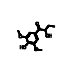 CCC(O)C(=O)c1cc(OC)c(O)c(OC)c1